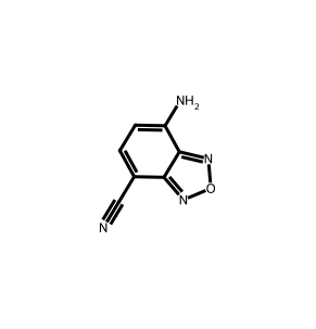 N#Cc1ccc(N)c2nonc12